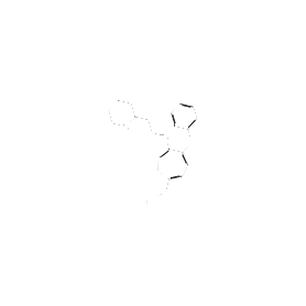 CSC1=CC=C2Sc3ccccc3N(CCC3CCCCN3)C2=CC1